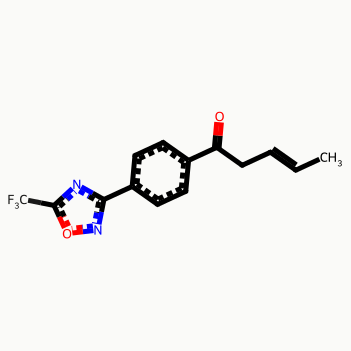 CC=CCC(=O)c1ccc(-c2noc(C(F)(F)F)n2)cc1